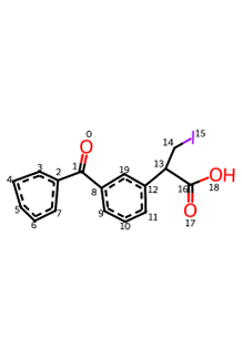 O=C(c1ccccc1)c1cccc(C(CI)C(=O)O)c1